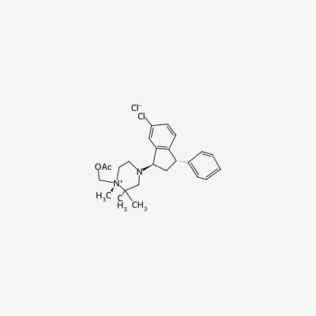 CC(=O)OC[N@+]1(C)CCN([C@@H]2C[C@@H](c3ccccc3)c3ccc(Cl)cc32)CC1(C)C.[Cl-]